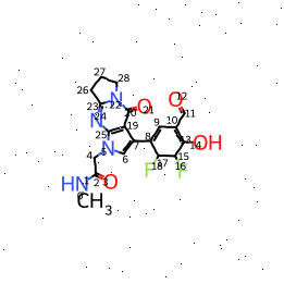 CNC(=O)Cn1cc(C2=CC(C=O)=C(O)C(F)C2F)c2c(=O)n3c(nc21)CCC3